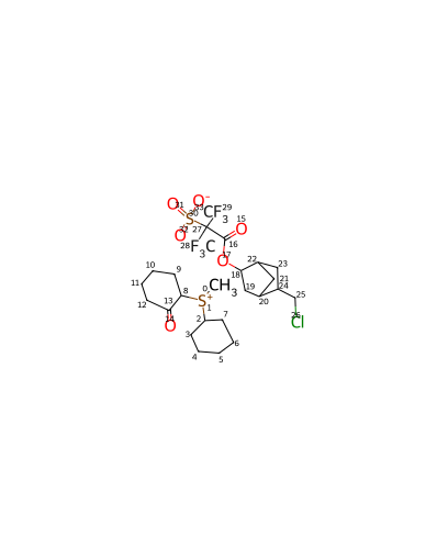 C[S+](C1CCCCC1)C1CCCCC1=O.O=C(OC1CC2CC1CC2CCl)C(C(F)(F)F)(C(F)(F)F)S(=O)(=O)[O-]